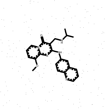 COc1cccn2c(=O)c(CNC(C)C)c(Nc3ccc4ncccc4c3)nc12